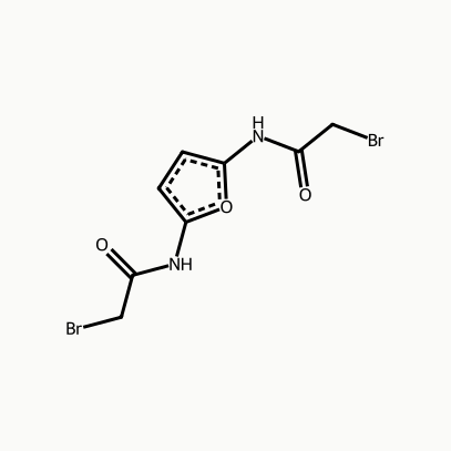 O=C(CBr)Nc1ccc(NC(=O)CBr)o1